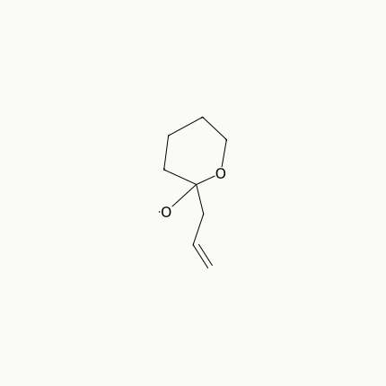 C=CCC1([O])CCCCO1